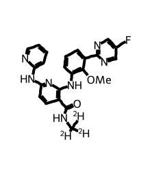 [2H]C([2H])([2H])NC(=O)c1ccc(Nc2ccccn2)nc1Nc1cccc(-c2ncc(F)cn2)c1OC